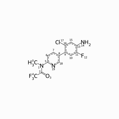 CN(C(=O)C(F)(F)F)c1ccc(-c2cc(F)c(N)cc2Cl)cn1